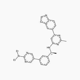 CCN(CC)c1ncc(-c2cccc([C@H](C)Nc3cc(-c4ccc5ncsc5c4)nc(C)n3)c2)cn1